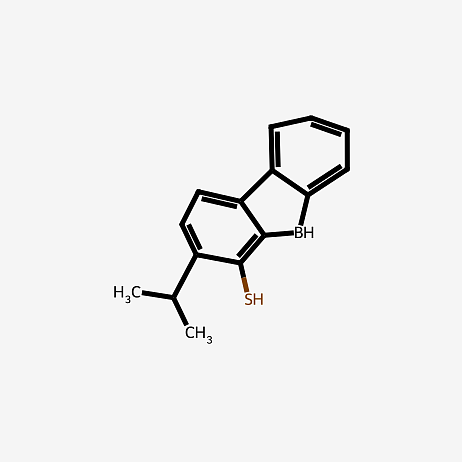 CC(C)c1ccc2c(c1S)Bc1ccccc1-2